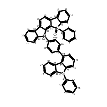 O=P1(c2ccccc2)c2ccccc2-c2ccc3c4ccccc4n(-c4ccc(-c5cccc6c5c5ccccc5n6-c5ccccc5)cc4)c3c21